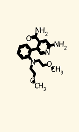 COCCN(CCOC)c1ccccc1-c1cnc(N)cc1C(N)=O